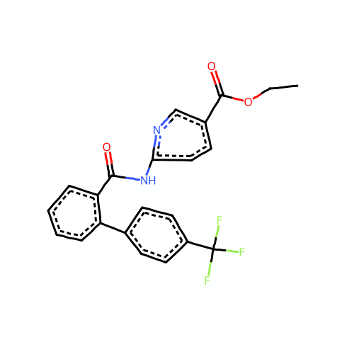 CCOC(=O)c1ccc(NC(=O)c2ccccc2-c2ccc(C(F)(F)F)cc2)nc1